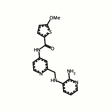 COc1ccc(C(=O)Nc2ccnc(CNc3cccnc3N)c2)s1